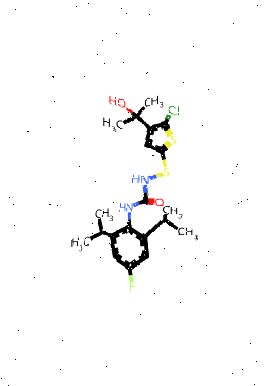 CC(C)c1cc(F)cc(C(C)C)c1NC(=O)NSc1cc(C(C)(C)O)c(Cl)s1